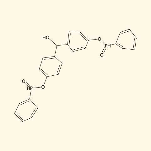 O=[PH](Oc1ccc(C(O)c2ccc(O[PH](=O)c3ccccc3)cc2)cc1)c1ccccc1